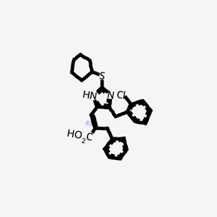 O=C(O)/C(=C/c1[nH]c(SC2CCCCC2)nc1Cc1ccccc1Cl)Cc1ccccc1